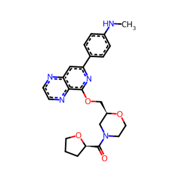 CNc1ccc(-c2cc3nccnc3c(OC[C@@H]3CN(C(=O)[C@H]4CCCO4)CCO3)n2)cc1